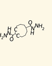 NNC(=O)C1CCCCC(C(=O)NN)CCCC1